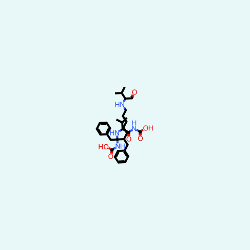 CC(C)C(C=O)NCCCCCC(Cc1ccccc1)C(Cc1ccccc1)(NC(=O)O)NC(C(=O)NC(=O)O)C(C)C